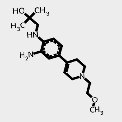 COCCN1CC=C(c2ccc(NCC(C)(C)O)c(N)c2)CC1